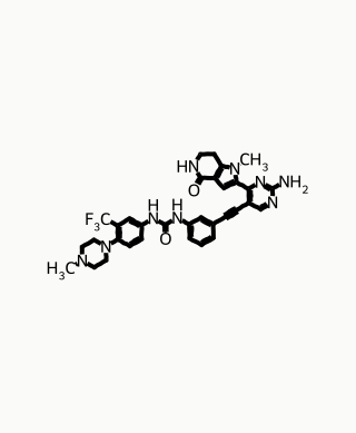 CN1CCN(c2ccc(NC(=O)Nc3cccc(C#Cc4cnc(N)nc4-c4cc5c(n4C)CCNC5=O)c3)cc2C(F)(F)F)CC1